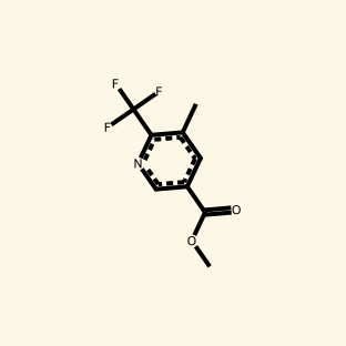 COC(=O)c1cnc(C(F)(F)F)c(C)c1